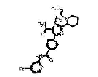 CC=CN1CCCCC1c1nc(-c2ccc(C(=O)Nc3cc(C(C)C)ccn3)cc2)c(C(N)=O)n1N